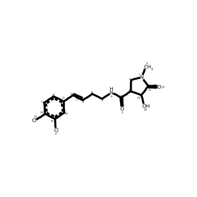 CN1CC(C(=O)NCC/C=C/c2ccc(Cl)c(Cl)c2)C(O)C1=O